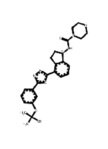 CC(C)(C#N)Oc1cccc(-c2nnc(-c3cccc4c3CC[C@H]4NC(=O)N3CCOCC3)s2)c1